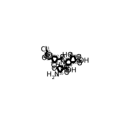 COc1ccc(S(=O)(=O)O)cc1N.O=C(Nc1ccc2cc(S(=O)(=O)O)cc(O)c2c1)c1ccc(CS(=O)(=O)CCCl)cc1